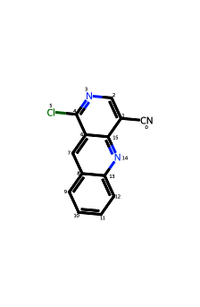 N#Cc1cnc(Cl)c2cc3ccccc3nc12